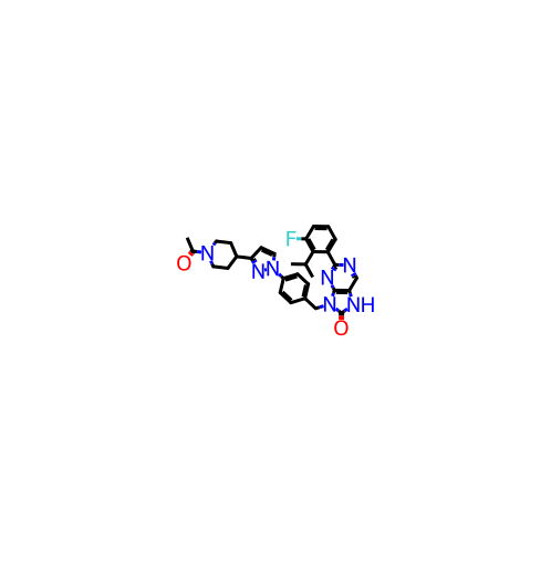 CC(=O)N1CCC(c2ccn(-c3ccc(Cn4c(=O)[nH]c5cnc(-c6cccc(F)c6C(C)C)nc54)cc3)n2)CC1